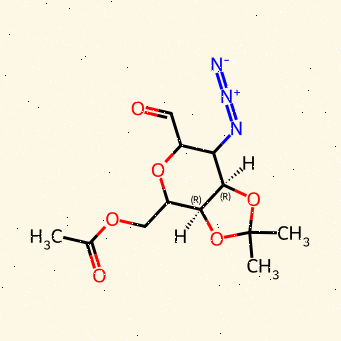 CC(=O)OCC1OC(C=O)C(N=[N+]=[N-])[C@H]2OC(C)(C)O[C@@H]12